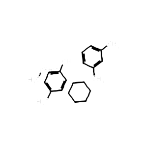 C1CCCCC1.CCCCCC.Cc1ccc(C)cc1.Cc1cccc(C)c1